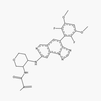 C=C(C)C(=O)NC1COCCC1Nc1cc2c(cn1)cc(-c1c(F)c(OC)cc(OC)c1F)c1ncnn12